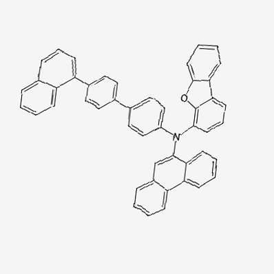 c1ccc2c(-c3ccc(-c4ccc(N(c5cc6ccccc6c6ccccc56)c5cccc6c5oc5ccccc56)cc4)cc3)cccc2c1